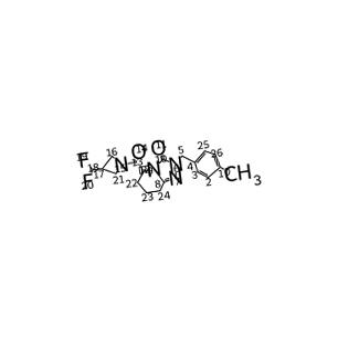 Cc1ccc(Cn2nc3n(c2=O)[C@@H](C(=O)N2CC(C(F)F)C2)CCC3)cc1